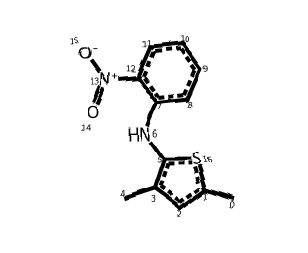 Cc1cc(C)c(Nc2ccccc2[N+](=O)[O-])s1